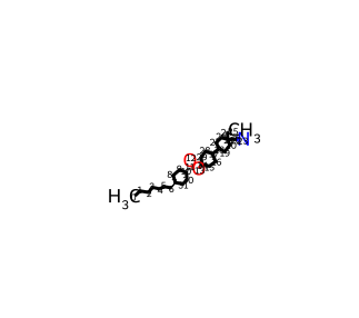 CCCCCCC[C@H]1CC[C@H](C(=O)OC2CCC(C3CCC(C#N)(CC)CC3)CC2)CC1